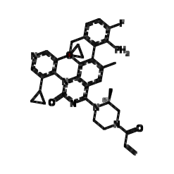 C=CC(=O)N1CCN(c2nc(=O)n(-c3c(C4CC4)cncc3C3CC3)c3c4c(c(C)cc23)-c2c(ccc(F)c2P)CO4)[C@@H](C)C1